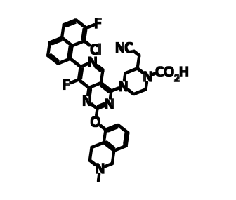 CN1CCc2c(cccc2Oc2nc(N3CCN(C(=O)O)C(CC#N)C3)c3cnc(-c4cccc5ccc(F)c(Cl)c45)c(F)c3n2)C1